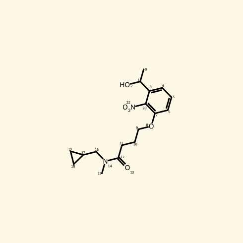 CC(O)c1cccc(OCCCC(=O)N(C)CC2CC2)c1[N+](=O)[O-]